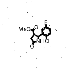 COC(=O)C1CC(=O)NC1c1cc(F)ccc1Cl